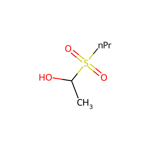 CCCS(=O)(=O)C(C)O